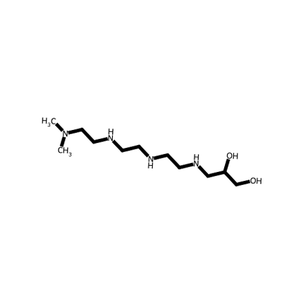 CN(C)CCNCCNCCNCC(O)CO